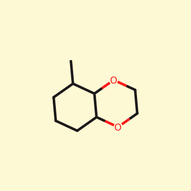 CC1CCCC2OCCOC12